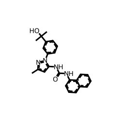 Cc1cc(NC(=O)Nc2cccc3ccccc23)n(-c2cccc(C(C)(C)O)c2)n1